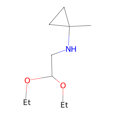 CCOC(CNC1(C)CC1)OCC